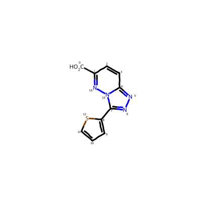 O=C(O)c1ccc2nnc(-c3cccs3)n2n1